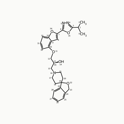 CC(C)c1nnc(-c2cc3c(OC[C@@H](O)CN4CCC5(CC4)OCc4ccccc45)cccc3o2)o1